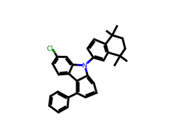 CC1(C)CCC(C)(C)c2cc(-n3c4cc(Cl)ccc4c4c(-c5ccccc5)cccc43)ccc21